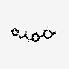 O=C1CCC(c2ccc(NC(=O)Cn3ccnc3)cc2)=NN1